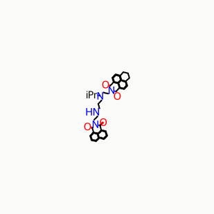 CC(C)N(CCCNCCN1C(=O)c2cccc3cccc(c23)C1=O)CCN1C(=O)c2ccc3c4c(ccc(c24)C1=O)CCC3